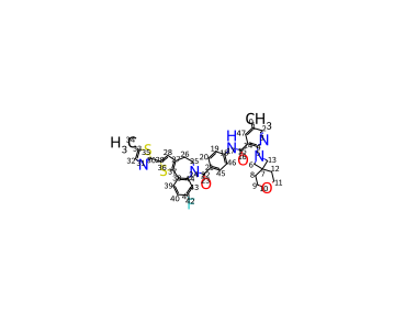 Cc1cnc(N2CC3(CCOCC3)C2)c(C(=O)Nc2ccc(C(=O)N3CCc4cc(-c5ncc(C)s5)sc4-c4ccc(F)cc43)cc2)c1